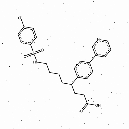 O=C(O)CCC(CCCCNS(=O)(=O)c1ccc(Cl)cc1)c1ccc(-c2cccnc2)cc1